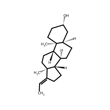 C/C=C1\CC[C@H]2[C@@H]3CC[C@@H]4C[C@@H](O)CC[C@]4(C)[C@H]3CC[C@]12C